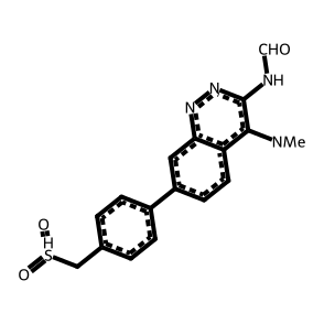 CNc1c(NC=O)nnc2cc(-c3ccc(C[SH](=O)=O)cc3)ccc12